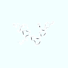 COc1cc(C(=O)N(C)C)cnc1-c1cc2nccc(-c3ccc(N4CCC(F)C4)c(C#N)n3)c2o1